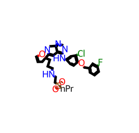 CCCS(=O)(=O)CCNCCCC1(c2cc3c(Nc4ccc(OCc5cccc(F)c5)c(Cl)c4)ncnc3cn2)CC=CO1